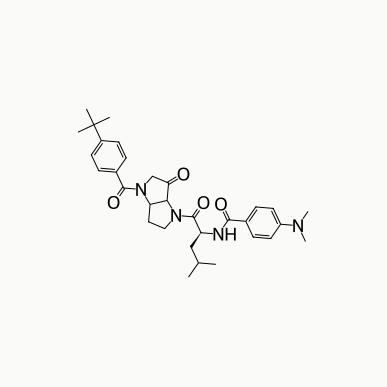 CC(C)C[C@H](NC(=O)c1ccc(N(C)C)cc1)C(=O)N1CCC2C1C(=O)CN2C(=O)c1ccc(C(C)(C)C)cc1